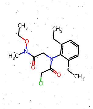 CCON(C)C(=O)CN(C(=O)CCl)c1c(CC)cccc1CC